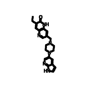 CCc1cc2ncc(CN3CCN(c4cnc5[nH]ccc5c4)CC3)cc2[nH]c1=O